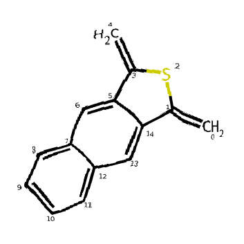 C=c1sc(=C)c2cc3ccccc3cc12